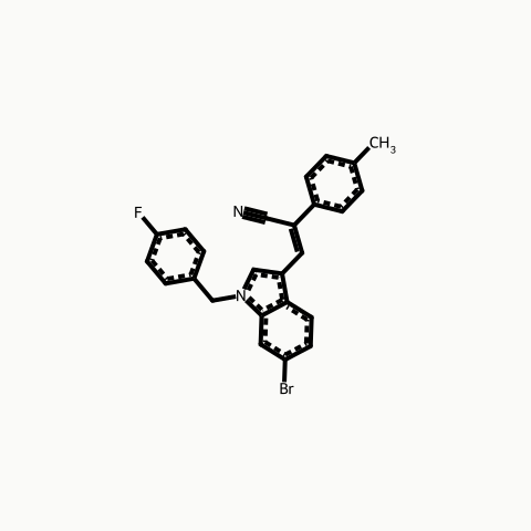 Cc1ccc(/C(C#N)=C/c2cn(Cc3ccc(F)cc3)c3cc(Br)ccc23)cc1